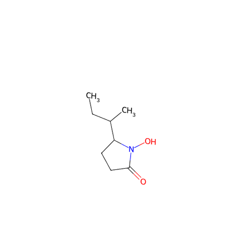 CCC(C)C1CCC(=O)N1O